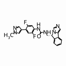 Cn1cc(-c2cc(F)c(NC(=O)NC[C@H]3c4ccccc4-c4cncn43)cc2F)cn1